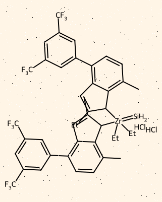 CCC1=Cc2c(-c3cc(C(F)(F)F)cc(C(F)(F)F)c3)ccc(C)c2[CH]1[Zr](=[SiH2])([CH2]C)([CH2]C)[CH]1C(C)=Cc2c(-c3cc(C(F)(F)F)cc(C(F)(F)F)c3)ccc(C)c21.Cl.Cl